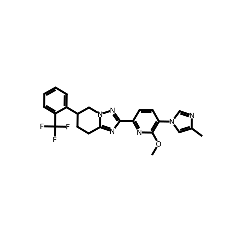 COc1nc(-c2nc3n(n2)CC(c2ccccc2C(F)(F)F)CC3)ccc1-n1cnc(C)c1